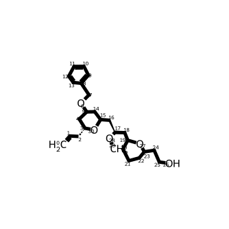 C=CC[C@@H]1CC(OCc2ccccc2)CC(C[C@@H](CC2CCCC(CCO)O2)OC)O1